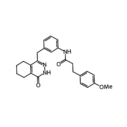 COc1ccc(CCC(=O)Nc2cccc(Cc3n[nH]c(=O)c4c3CCCC4)c2)cc1